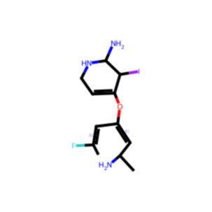 C/C(F)=C\C(=C/C(C)N)OC1=CCNC(N)C1I